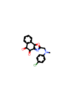 CN(Cc1nc2c(o1)-c1ccccc1C(=O)C2=O)c1ccc(Cl)cc1